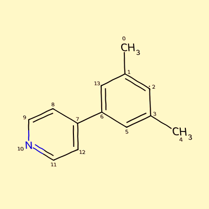 Cc1[c]c(C)cc(-c2ccncc2)c1